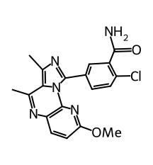 COc1ccc2nc(C)c3c(C)nc(-c4ccc(Cl)c(C(N)=O)c4)n3c2n1